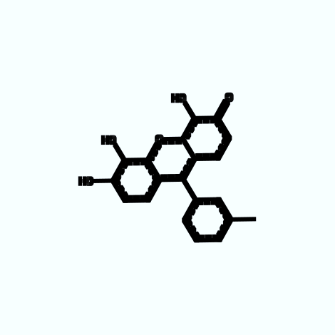 Cc1cccc(-c2c3ccc(=O)c(O)c-3oc3c(O)c(O)ccc23)c1